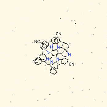 N#Cc1ccc2c(c1)c1ccccc1n2-c1c(-c2ccncc2)c(-n2c3ccccc3c3cc(C#N)ccc32)c(-n2c3ccccc3c3cc(C#N)ccc32)c(-n2c3ccccc3c3cc(C#N)ccc32)c1-c1nc(-c2ccccc2)cc(-c2ccccc2)n1